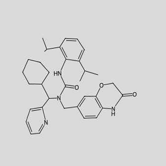 CC(C)c1cccc(C(C)C)c1NC(=O)N(Cc1ccc2c(c1)OCC(=O)N2)C(c1ccccn1)C1CCCCC1